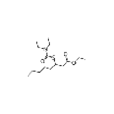 CCCCCC(CC(=O)OCC)SC(=O)N(CC)CC